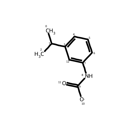 CC(C)c1cccc(NC([O])=O)c1